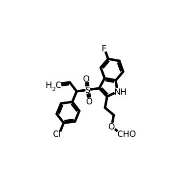 C=CC(c1ccc(Cl)cc1)S(=O)(=O)c1c(CCOC=O)[nH]c2ccc(F)cc12